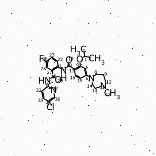 CC(C)Oc1cc(N2CCCN(C)CC2)ccc1C(=O)Nc1ccc(F)cc1C(=O)Nc1ccc(Cl)cn1